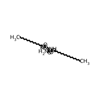 CCCCCCCCCCCCCCCCCCOC(=O)NC(CNC(=O)OCCCCCCCCCCCCCCCC)C(N)=O